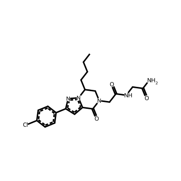 CCCCC1CN(CC(=O)NCC(N)=O)C(=O)c2cc(-c3ccc(Cl)cc3)nn21